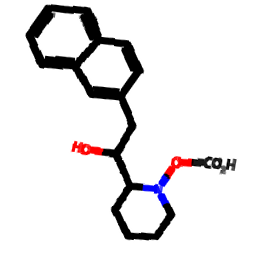 O=C(O)ON1CCCCC1C(O)Cc1ccc2ccccc2c1